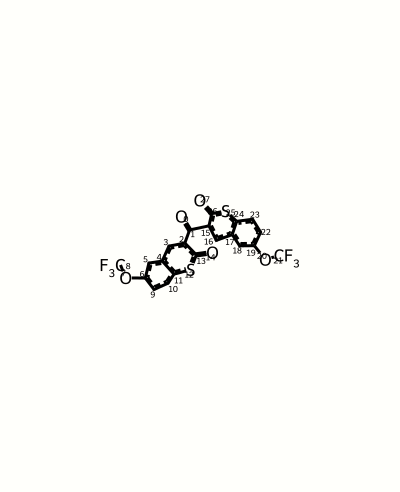 O=C(c1cc2cc(OC(F)(F)F)ccc2sc1=O)c1cc2cc(OC(F)(F)F)ccc2sc1=O